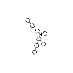 C1=CCCC(N(c2ccc(-c3ccc(-c4ccccc4)cc3)cc2)c2ccc(C3=CCC(c4ccccc4)C=C3)c(-c3ccccc3)c2)=C1